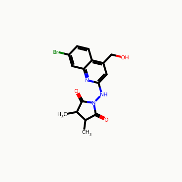 CC1C(=O)N(Nc2cc(CO)c3ccc(Br)cc3n2)C(=O)C1C